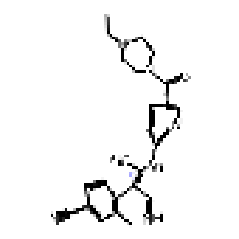 CCN1CCN(C(=O)c2ccc(N/C(O)=C(\C=N)c3ccc(C#N)cc3C)nc2)CC1